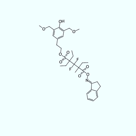 CCC(C)(C(F)(F)C(CC)(CC)S(=O)(=O)OCCc1cc(COC)c(O)c(COC)c1)S(=O)(=O)O/N=C1\CCc2ccccc21